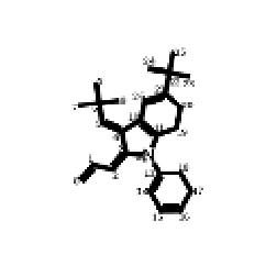 C=C/C=c1\c(=CC(C)(C)C)c2c(n1C1=CC=CCC1)CCC(C(C)(C)C)=C2